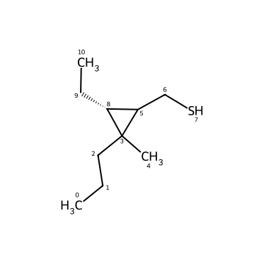 CCCC1(C)C(CS)[C@H]1CC